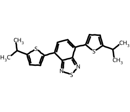 CC(C)c1ccc(-c2ccc(-c3ccc(C(C)C)s3)c3nsnc23)s1